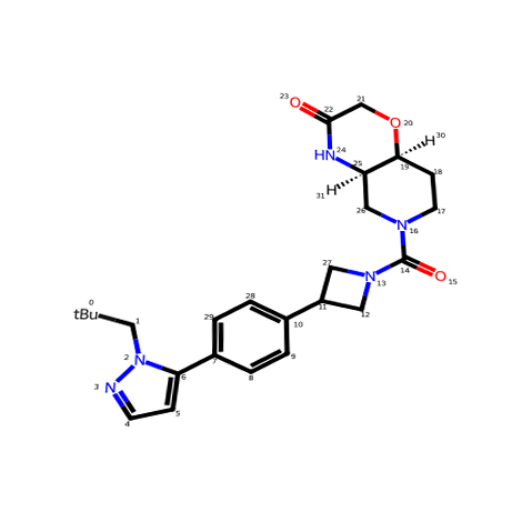 CC(C)(C)Cn1nccc1-c1ccc(C2CN(C(=O)N3CC[C@@H]4OCC(=O)N[C@@H]4C3)C2)cc1